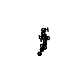 O=C(NCc1ccc(S(=O)(=O)c2ccc(-c3ccccc3)cc2)cc1)c1cc2cc(O)ccc2[nH]1